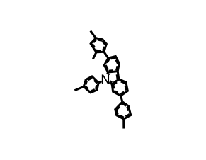 Cc1ccc(-c2ccc3c4ccc(-c5ccc(C)cc5C)cc4n(-c4ccc(C)cc4)c3c2)cc1